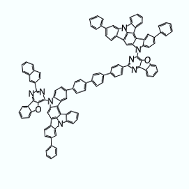 c1ccc(-c2ccc3c(c2)c2c4c5ccccc5n5c6cc(-c7ccccc7)ccc6c(cc2n3-c2nc(-c3ccc(-c6ccc(-c7ccc(-c8ccc9c(c8)c8c%10c%11ccccc%11n%11c%12cc(-c%13ccccc%13)ccc%12c(cc8n9-c8nc(-c9ccc%12ccccc%12c9)nc9c8oc8ccccc89)c%10%11)cc7)cc6)cc3)nc3c2oc2ccccc23)c45)cc1